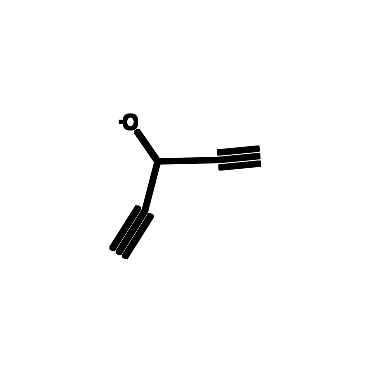 C#CC([O])C#C